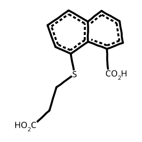 O=C(O)CCSc1cccc2cccc(C(=O)O)c12